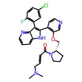 CN(C)C/C=C/C(=O)N1CCC[C@H]1COc1cnccc1-c1[nH]c2cccnc2c1-c1cc(Cl)ccc1F